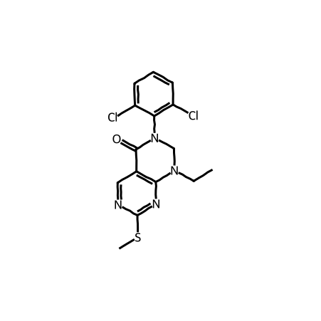 CCN1CN(c2c(Cl)cccc2Cl)C(=O)c2cnc(SC)nc21